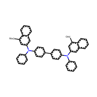 COc1cc(N(c2ccccc2)c2ccc(-c3ccc(N(c4ccccc4)c4cc(C=O)c5ccccc5c4)cc3)cc2)cc2ccccc12